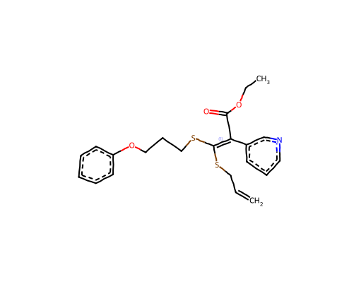 C=CCS/C(SCCCOc1ccccc1)=C(/C(=O)OCC)c1cccnc1